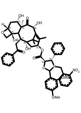 COc1ccc(C2O[C@@H](C(=O)O[C@H]3C[C@@]4(O)[C@@H](CC(=O)c5ccccc5)C5[C@](C)(C(=O)[C@H](O)C(=C3C)C4(C)C)[C@@H](O)C[C@H]3OC[C@@]53OC(C)=O)[C@H](c3ccccc3)N2Cc2ccccc2[N+](=O)[O-])c(OC)c1